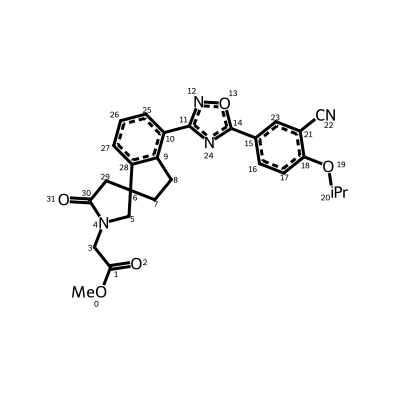 COC(=O)CN1CC2(CCc3c(-c4noc(-c5ccc(OC(C)C)c(C#N)c5)n4)cccc32)CC1=O